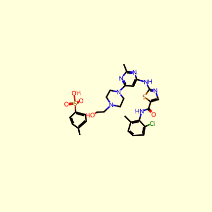 Cc1ccc(S(=O)(=O)O)cc1.Cc1nc(Nc2ncc(C(=O)Nc3c(C)cccc3Cl)s2)cc(N2CCN(CCO)CC2)n1